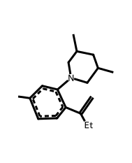 C=C(CC)c1ccc(C)cc1N1CC(C)CC(C)C1